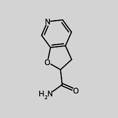 NC(=O)C1Cc2ccncc2O1